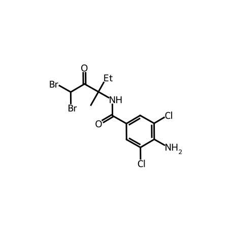 CCC(C)(NC(=O)c1cc(Cl)c(N)c(Cl)c1)C(=O)C(Br)Br